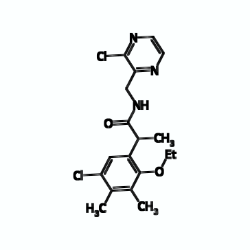 CCOc1c(C(C)C(=O)NCc2nccnc2Cl)cc(Cl)c(C)c1C